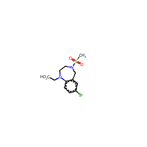 CS(=O)(=O)N1CCN(CC(=O)O)c2ccc(Br)cc2C1